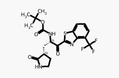 CC(C)(C)OC(=O)N[C@@H](C[C@@H]1CCNC1=O)C(=O)c1nc2c(C(F)(F)F)cccc2s1